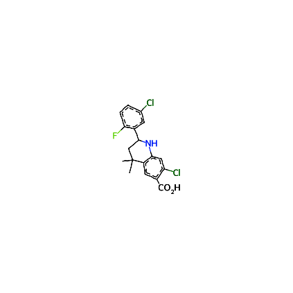 CC1(C)CC(c2cc(Cl)ccc2F)Nc2cc(Cl)c(C(=O)O)cc21